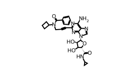 Nc1nc(C#CCN(C(=O)c2ccccc2)C2CCC2)nc2c1ncn2[C@@H]1O[C@H](C(=O)NC2CC2)C(O)[C@H]1O